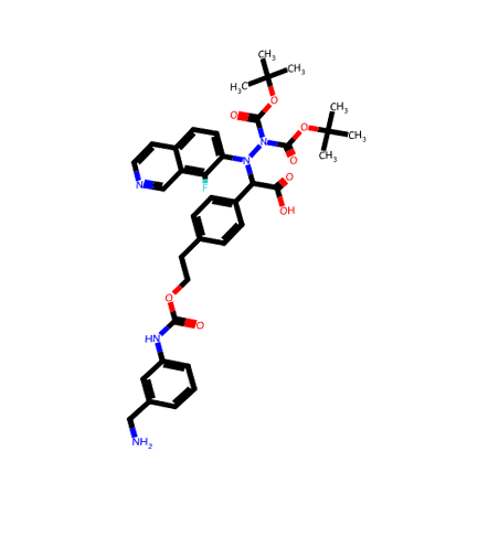 CC(C)(C)OC(=O)N(C(=O)OC(C)(C)C)N(c1ccc2ccncc2c1F)C(C(=O)O)c1ccc(CCOC(=O)Nc2cccc(CN)c2)cc1